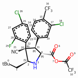 CC(C)(C)C[C@@H]1N[C@@H](C(=O)OC(=O)C(F)(F)F)[C@H](c2ccc(C(F)(F)F)c(Cl)c2)[C@@]1(C#N)c1ccc(Cl)cc1F